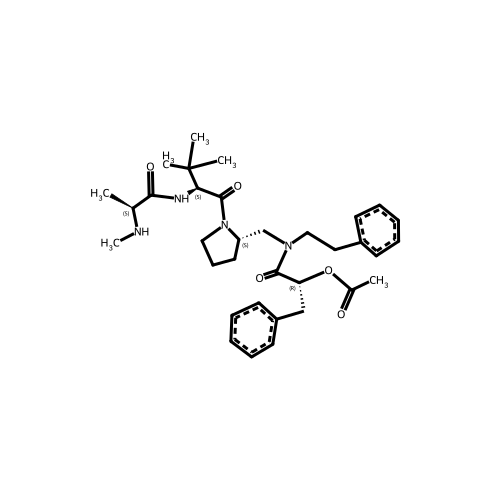 CN[C@@H](C)C(=O)N[C@H](C(=O)N1CCC[C@H]1CN(CCc1ccccc1)C(=O)[C@@H](Cc1ccccc1)OC(C)=O)C(C)(C)C